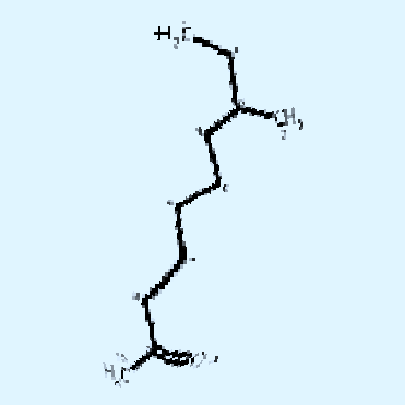 [CH2]CC(C)CCCCCC(C)=O